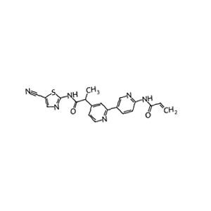 C=CC(=O)Nc1ccc(-c2cc(C(C)C(=O)Nc3ncc(C#N)s3)ccn2)cn1